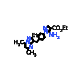 CCOC(=O)c1cnn(-c2ccc(CC3C(CC)=NN4C(C)=CC(C)=NC34)cc2)c1N